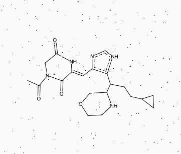 CC(=O)N1CC(=O)N/C(=C\c2nc[nH]c2C(CCC2CC2)C2COCCN2)C1=O